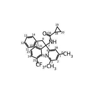 Cc1cc(C)nc(C(Cc2ccccc2)(NC(=O)C2CC2)c2cccc(C(F)(F)F)c2)c1